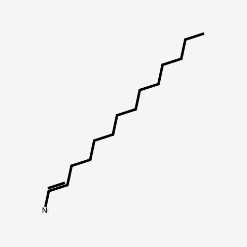 CCCCCCCCCCCC/C=C/[N]